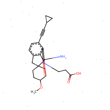 COC1CCC2(CC1)Cc1ccc(C#CC3CC3)cc1C21N=C(N)N(CCC(=O)O)C1=O